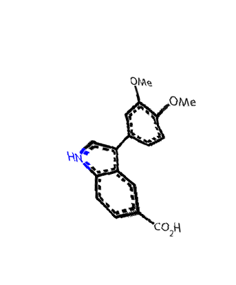 COc1ccc(-c2c[nH]c3ccc(C(=O)O)cc23)cc1OC